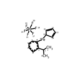 CC(C)c1cccc[c]1[Fe][CH]1C=CC=C1.F[P-](F)(F)(F)(F)F